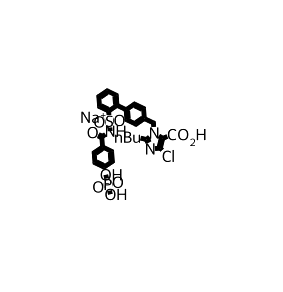 CCCCc1nc(Cl)c(C(=O)O)n1Cc1ccc(-c2ccccc2S(=O)(=O)NC(=O)c2ccccc2)cc1.O=P([O-])(O)O.[Na+]